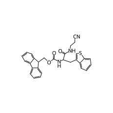 N#CCCNC(=O)C(Cc1csc2ccccc12)NC(=O)OCC1c2ccccc2-c2ccccc21